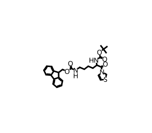 CC(C)(C)OC(=O)NC(CCCCNC(=O)OCC1c2ccccc2-c2ccccc21)C(=O)N1C=CSC1